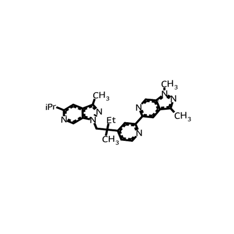 CCC(C)(Cn1nc(C)c2cc(C(C)C)ncc21)c1ccnc(-c2cc3c(C)nn(C)c3cn2)c1